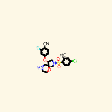 N#Cc1ccc(O[C@H]2CN(S(=O)(=O)c3ccc(Cl)cc3C#N)C[C@@]23CNCCO3)cc1F